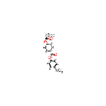 CCCCCCCCCCC(=O)O[C@H]1CC[C@H](C(=O)Oc2ccc([N+](=O)[O-])cc2)CC1